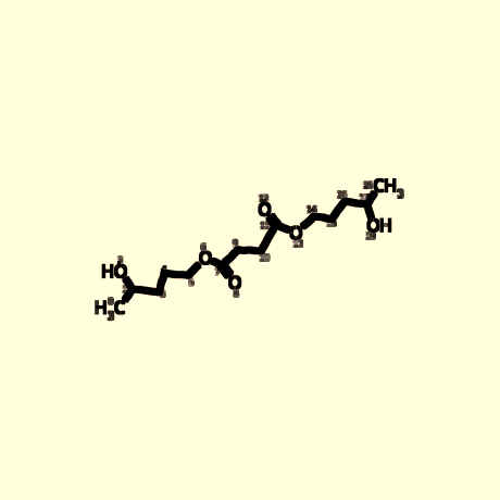 CC(O)CCCOC(=O)CCC(=O)OCCCC(C)O